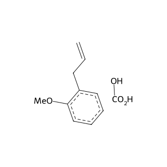 C=CCc1ccccc1OC.O=C(O)O